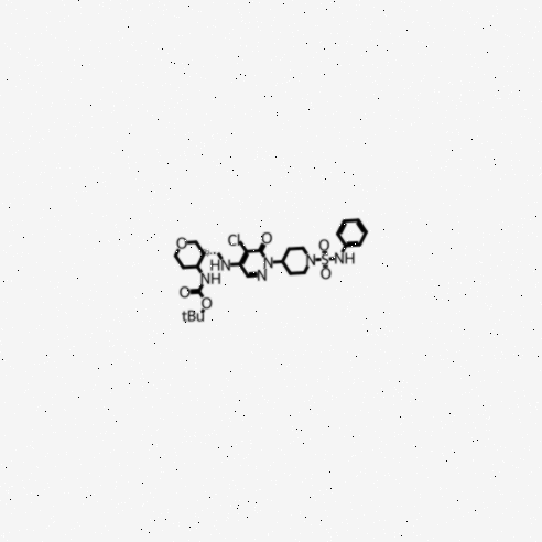 CC(C)(C)OC(=O)NC1CCOC[C@@H]1CNc1cnn(C2CCN(S(=O)(=O)Nc3ccccc3)CC2)c(=O)c1Cl